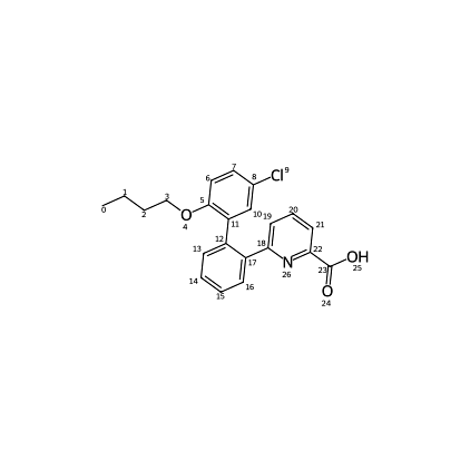 CCCCOc1ccc(Cl)cc1-c1ccccc1-c1cccc(C(=O)O)n1